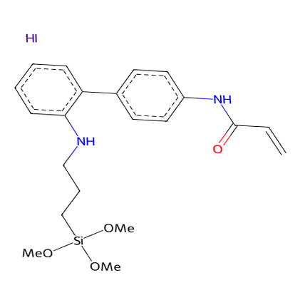 C=CC(=O)Nc1ccc(-c2ccccc2NCCC[Si](OC)(OC)OC)cc1.I